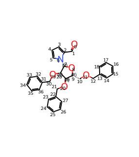 O=Cc1cccn1[C@@H]1O[C@H](COCc2ccccc2)[C@@H](OCc2ccccc2)[C@H]1OCc1ccccc1